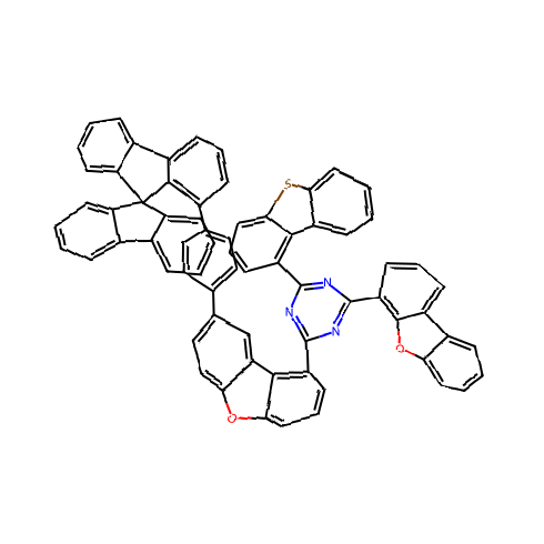 c1ccc2c(c1)-c1ccccc1C21c2ccccc2-c2cccc(-c3ccc(-c4ccc5oc6cccc(-c7nc(-c8cccc9c8oc8ccccc89)nc(-c8cccc9sc%10ccccc%10c89)n7)c6c5c4)cc3)c21